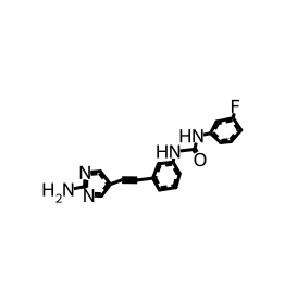 Nc1ncc(C#Cc2cccc(NC(=O)Nc3cccc(F)c3)c2)cn1